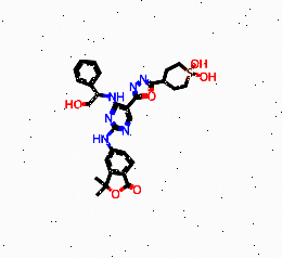 CC1(C)OC(=O)c2ccc(Nc3ncc(-c4nnc(C5CCS(O)(O)CC5)o4)c(NC(CO)c4ccccc4)n3)cc21